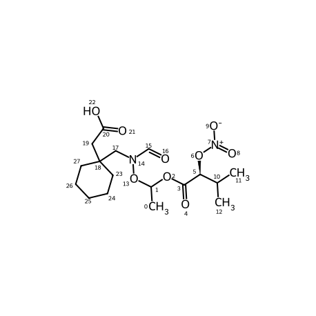 CC(OC(=O)[C@@H](O[N+](=O)[O-])C(C)C)ON(C=O)CC1(CC(=O)O)CCCCC1